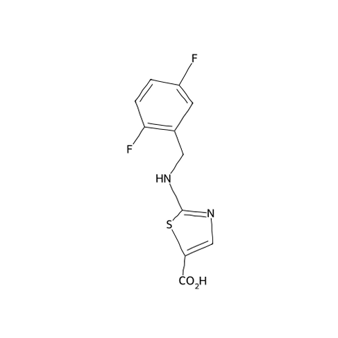 O=C(O)c1cnc(NCc2cc(F)ccc2F)s1